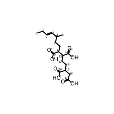 CCC=CC(C)CCC(C(=O)O)C(CCC(CC(=O)O)C(=O)O)C(=O)O